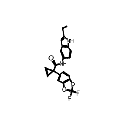 CCc1cc2cc(NC(=O)C3(c4ccc5c(c4)OC(F)(F)O5)CC3)ccc2[nH]1